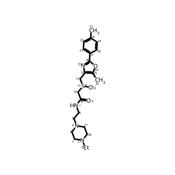 CCN1CCN(CCNC(=O)C[S+]([O-])Cc2nc(-c3ccc(C)cc3)oc2C)CC1